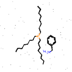 CCCCCCCCP(CCCCCCCC)CCCCCCCC.NCc1ccccc1